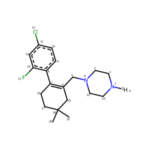 [2H]N1CCN(CC2=C(c3ccc(Cl)cc3F)CCC(C)(C)C2)CC1